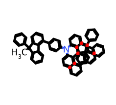 CC1(c2ccccc2)c2ccccc2-c2c(-c3ccc(N(c4ccccc4-c4cccc5cccc(-c6ccccc6)c45)c4cccc5c4-c4ccccc4C5(c4ccccc4)c4ccccc4)cc3)cccc21